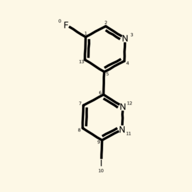 Fc1cncc(-c2ccc(I)nn2)c1